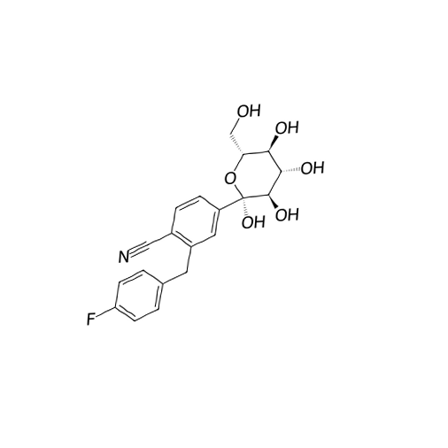 N#Cc1ccc([C@@]2(O)O[C@H](CO)[C@@H](O)[C@H](O)[C@H]2O)cc1Cc1ccc(F)cc1